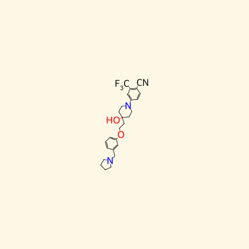 N#Cc1ccc(N2CCC(O)(CCOc3cccc(CN4CCCC4)c3)CC2)cc1C(F)(F)F